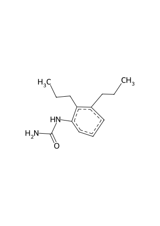 CCCc1cccc(NC(N)=O)c1CCC